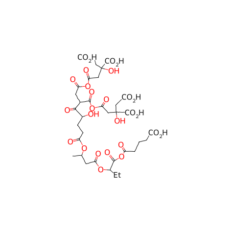 CCC(OC(=O)CC(C)OC(=O)CCC(O)C(=O)C(CC(=O)OC(=O)CC(O)(CC(=O)O)C(=O)O)C(=O)OC(=O)CC(O)(CC(=O)O)C(=O)O)C(=O)OC(=O)CCCC(=O)O